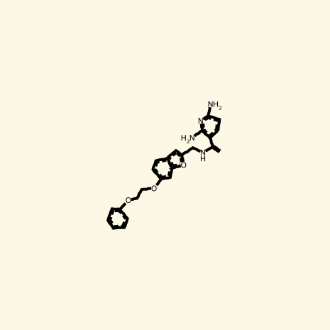 C=C(NCc1cc2ccc(OCCOc3ccccc3)cc2o1)c1ccc(N)nc1N